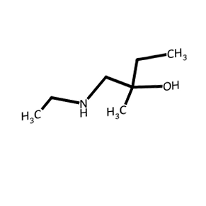 CCNCC(C)(O)CC